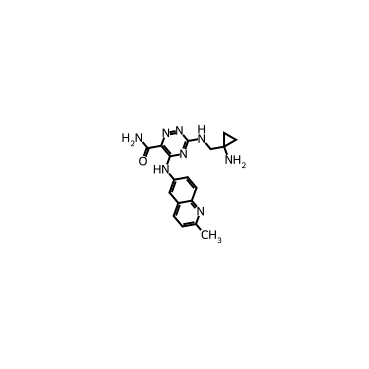 Cc1ccc2cc(Nc3nc(NCC4(N)CC4)nnc3C(N)=O)ccc2n1